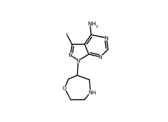 Nc1ncnc2c1c(I)nn2C1CNCCOC1